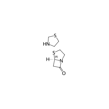 C1CSCN1.O=C1C[C@H]2SCCN12